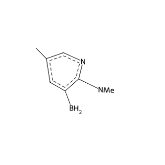 Bc1cc(C)cnc1NC